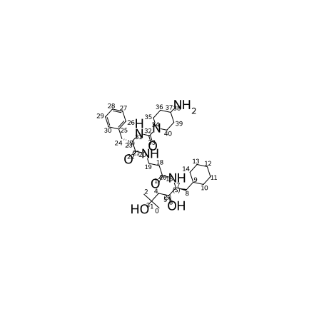 CC(C)(O)C[C@H](O)[C@H](CC1CCCCC1)NC(=O)CCNC(=O)[C@H](Cc1ccccc1)NC(=O)N1CCC(N)CC1